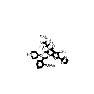 COc1ccccc1C(Cn1c(=O)n(C(C)(C)C(=O)OC(C)(C)C)c(=O)c2c(C)c(-c3ncco3)sc21)OC1CCNCC1